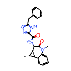 C[C@H]1C2c3ccccc3N(C)C(=O)[C@H](NC(=O)c3nnc(Cc4ccccc4)[nH]3)C21